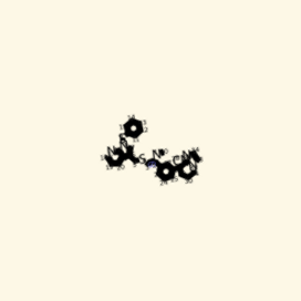 C=N/C(=C\SCc1cn(Sc2ccccc2)c2ncccc12)c1cccc(C2(C#N)CCCn3ccnc32)c1